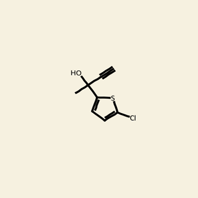 C#CC(C)(O)c1ccc(Cl)s1